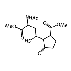 COC(=O)C(CC(S)C1C(=O)CCC1C(=O)OC)NC(C)=O